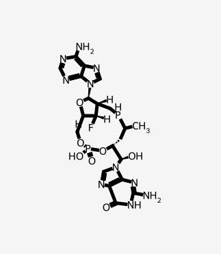 CC1C[C@H]([C@@H](O)n2cnc3c(=O)[nH]c(N)nc32)OP(=O)(O)OC[C@H]2O[C@@H](n3cnc4c(N)ncnc43)[C@H](CP1)[C@@H]2F